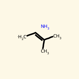 N.[CH2]C=C(C)C